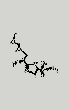 COCOCC(O)c1ncc(S(N)(=O)=O)s1